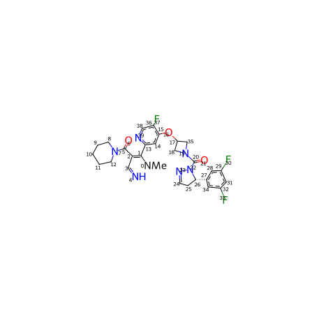 CN/C(=C(\C=N)C(=O)N1CCCCC1)c1cc(OC2CN(C(=O)N3N=CC[C@H]3c3cc(F)cc(F)c3)C2)c(F)cn1